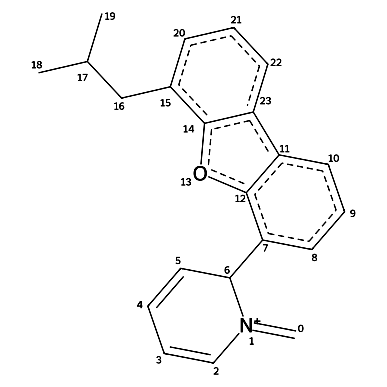 C=[N+]1C=CC=CC1c1cccc2c1oc1c(CC(C)C)cccc12